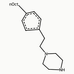 CCCCCCCCc1ccc(CCN2CCNCC2)cc1